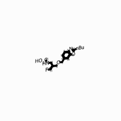 CCCCc1nc2ccc(COCC(=CF)CNC(=O)O)cc2o1